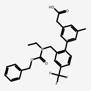 CCN(Cc1cc(C(F)(F)F)ccc1-c1cc(C)cc(CC(=O)O)c1)C(=O)OCc1ccccc1